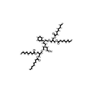 CCCCCCCC(=O)OCC(COCCN(CCO)CCN(CCOCC(COC(=O)CCCCCCC)COC(=O)CCCCCCC)C1CCCCC1)COC(=O)CCCCCCC